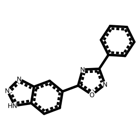 c1ccc(-c2noc(-c3ccc4[nH]nnc4c3)n2)cc1